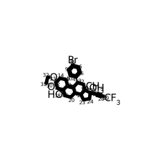 C[C@]12C[C@H](c3ccc(Br)cc3)C3=C4CCC5(C[C@]4(O)CCC3C1CC[C@@]2(O)C#CC(F)(F)F)OCCO5